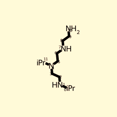 CC(C)NCCN(CCNCCN)C(C)C